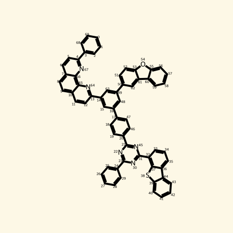 c1ccc(-c2ccc3ccc4ccc(-c5cc(-c6ccc(-c7nc(-c8ccccc8)nc(-c8cccc9c8sc8ccccc89)n7)cc6)cc(-c6ccc7oc8ccccc8c7c6)c5)nc4c3n2)cc1